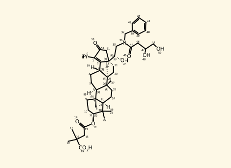 CC(C)C1=C2[C@H]3CC[C@@H]4[C@@]5(C)CC[C@H](OC(=O)CC(C)(C)C(=O)O)C(C)(C)[C@@H]5CC[C@@]4(C)[C@]3(C)CC[C@@]2([C@@H](O)CN(Cc2ccccc2)C(=O)CC(O)CO)CC1=O